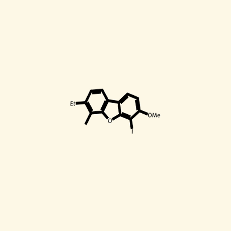 CCc1ccc2c(oc3c(I)c(OC)ccc32)c1C